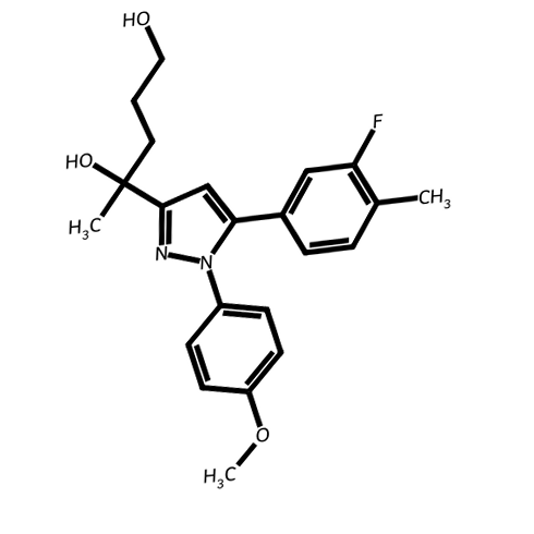 COc1ccc(-n2nc(C(C)(O)CCCO)cc2-c2ccc(C)c(F)c2)cc1